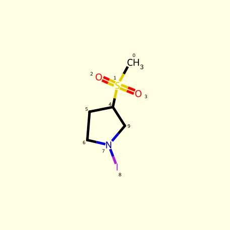 CS(=O)(=O)C1CCN(I)C1